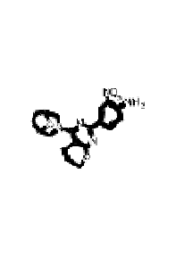 Nc1ccc(-c2nc3c(c(N4CC5CCC(C4)O5)n2)CCCO3)cc1[N+](=O)[O-]